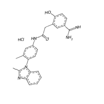 Cc1cc(NC(=O)Cc2cc(C(=N)N)ccc2O)ccc1-n1c(C)nc2ccccc21.Cl